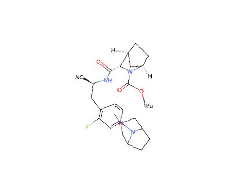 CN1CC2CCC(C1)N2c1ccc(C[C@@H](C#N)NC(=O)[C@@H]2[C@H]3CC[C@H](C3)N2C(=O)OC(C)(C)C)c(F)c1